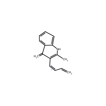 C=C/C=C\C1=C(C)Nc2ccccc2C1=C